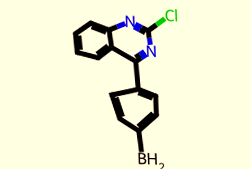 Bc1ccc(-c2nc(Cl)nc3ccccc23)cc1